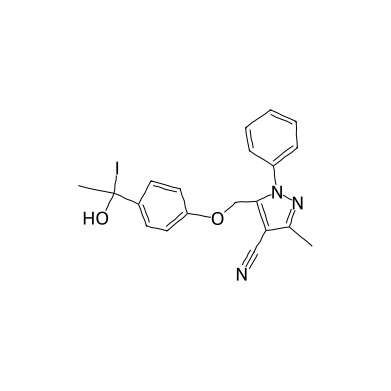 Cc1nn(-c2ccccc2)c(COc2ccc(C(C)(O)I)cc2)c1C#N